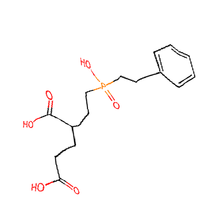 O=C(O)CCC(CCP(=O)(O)CCc1ccccc1)C(=O)O